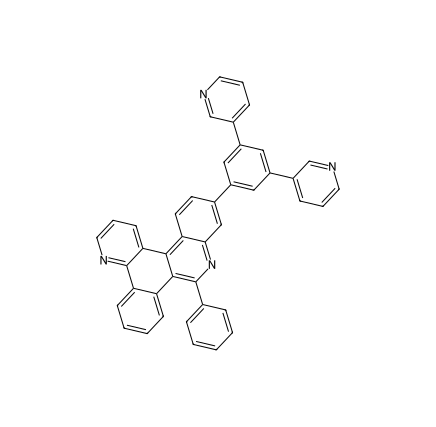 c1ccc(-c2nc3cc(-c4cc(-c5cccnc5)cc(-c5cccnc5)c4)ccc3c3c4cccnc4c4ccccc4c23)cc1